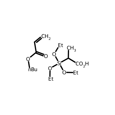 C=CC(=O)OCCCC.CCO[Si](OCC)(OCC)C(C)C(=O)O